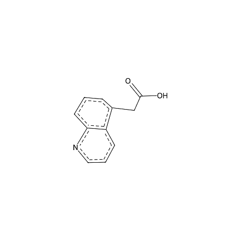 O=C(O)Cc1cccc2ncccc12